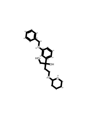 OCC(O)(CCOC1CCCCO1)c1cccc(OCc2ccccc2)c1